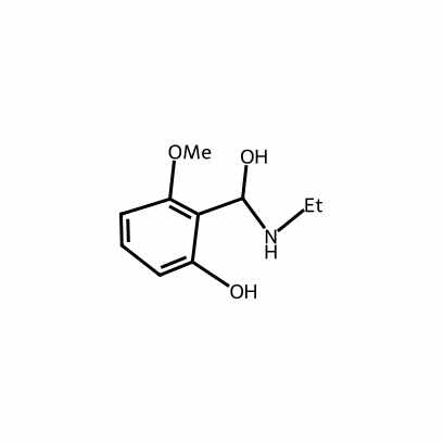 CCNC(O)c1c(O)cccc1OC